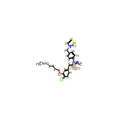 Br.CCCCCCCCCCCCCCOc1cc(CCN(C(C)=O)c2ccc(CN3C=CSC3)cc2)ccc1Cl